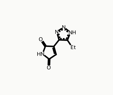 CCc1[nH]nnc1C1=CC(=O)NC1=O